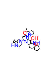 C[C@H](Oc1cc(N2C[C@H](C)NC3(CC3)C2)nc(/C(O)=C2\CCC[C@@]3(CCCCC3=O)C2=N)n1)[C@@H]1CCCN1C